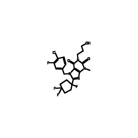 Cn1c(=O)n(CCCO)c(=O)c2c1nc(C1(F)CCC(F)(F)CC1)n2Cc1ccc(Cl)c(F)c1